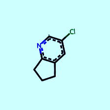 Clc1[c]nc2c(c1)CCC2